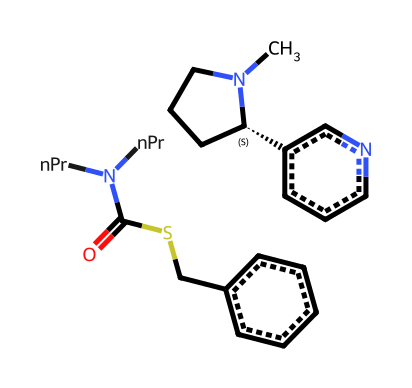 CCCN(CCC)C(=O)SCc1ccccc1.CN1CCC[C@H]1c1cccnc1